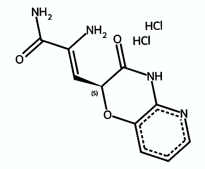 Cl.Cl.NC(=O)C(N)=C[C@@H]1Oc2cccnc2NC1=O